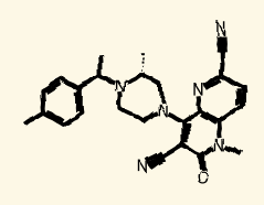 Cc1ccc(C(C)N2CCN(c3c(C#N)c(=O)n(C)c4ccc(C#N)nc34)C[C@H]2C)cc1